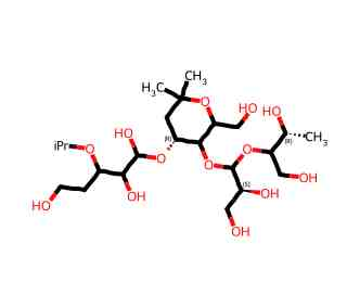 CC(C)OC(CCO)C(O)C(O)O[C@@H]1CC(C)(C)OC(CO)C1OC(OC(CO)[C@@H](C)O)[C@@H](O)CO